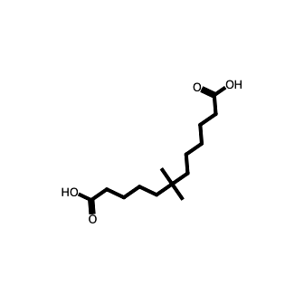 CC(C)(CCCCCC(=O)O)CCCCC(=O)O